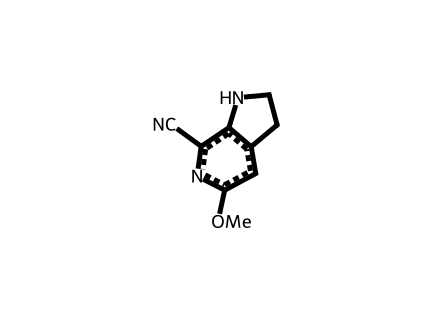 COc1cc2c(c(C#N)n1)NCC2